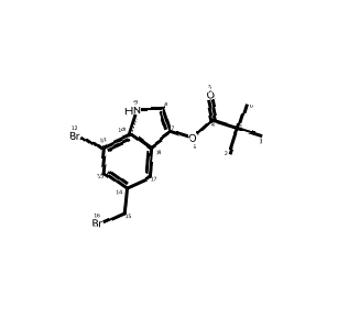 CC(C)(C)C(=O)Oc1c[nH]c2c(Br)cc(CBr)cc12